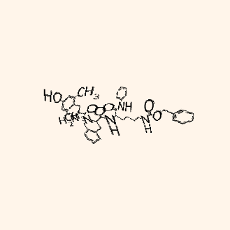 Cc1cc(O)cc(C)c1C[C@H](N)C(=O)N1Cc2ccccc2CC1C(=O)NC(CCCCNC(=O)OCc1ccccc1)C(=O)Nc1ccccc1